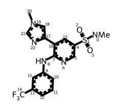 CNS(=O)(=O)c1cnc(Nc2cccc(C(F)(F)F)c2)c(-c2cn(C)cn2)c1